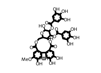 COc1cc2c(c(O)c1O)-c1c(cc(O)c(O)c1O)C(=O)O[C@@H]1C(COC2=O)O[C@@H](O)C(OC(=O)c2cc(O)c(O)c(O)c2)C1OC(=O)c1cc(O)c(O)c(O)c1